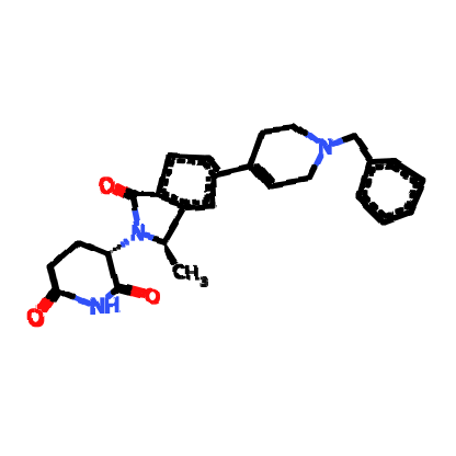 C[C@@H]1c2cc(C3=CCN(Cc4ccccc4)CC3)ccc2C(=O)N1[C@H]1CCC(=O)NC1=O